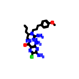 CCC[C@H](CNC(=O)c1nc(Cl)c(N)nc1N)N(CCCc1ccc(OC)cc1)C(=N)N